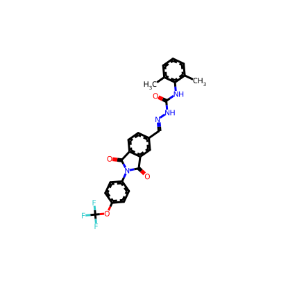 Cc1cccc(C)c1NC(=O)N/N=C/c1ccc2c(c1)C(=O)N(c1ccc(OC(F)(F)F)cc1)C2=O